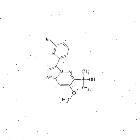 COc1cc2ncc(-c3cccc(Br)n3)n2nc1C(C)(C)O